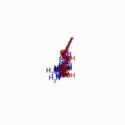 CCCCCCCCCCCCCCCC(=O)N[C@@H](CO)C(=O)NCC(=O)N[C@@H](CO)C(=O)NCC(=O)N[C@@H](Cc1c[nH]cn1)C(=O)N[C@@H](Cc1ccccc1)C(=O)N[C@@H](CCCNC(=N)N)C(=O)N[C@@H](CCCCN)C(=O)N[C@H](C)CCC(=O)O